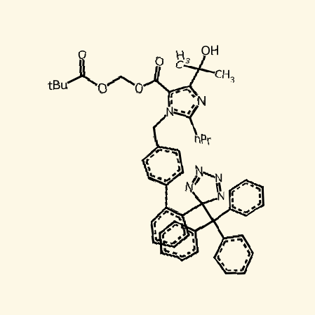 CCCc1nc(C(C)(C)O)c(C(=O)OCOC(=O)C(C)(C)C)n1Cc1ccc(-c2ccccc2C2(C(c3ccccc3)(c3ccccc3)c3ccccc3)N=NN=N2)cc1